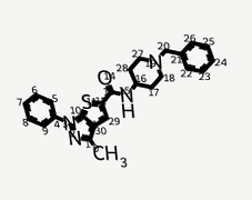 Cc1nn(-c2ccccc2)c2sc(C(=O)NC3CCN(Cc4ccccc4)CC3)cc12